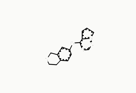 c1cc2c(Nc3ccc4c(c3)CNCC4)ncnn2c1